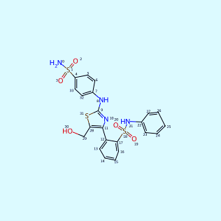 NS(=O)(=O)c1ccc(Nc2nc(-c3ccccc3S(=O)(=O)Nc3ccccc3)c(CO)s2)cc1